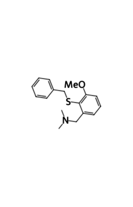 COc1cccc(CN(C)C)c1SCc1ccccc1